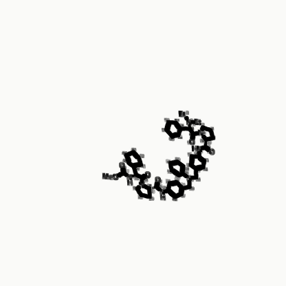 CCN(CC)[C@@H](C(=O)N1CCC[C@H]1C(=O)Nc1ccc(CN(Cc2ccc(NC(=O)[C@@H]3CCCN3C(=O)[C@H](NC(=O)OC)c3ccccc3)cc2)c2ccccc2)cc1)c1ccccc1